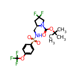 CC(C)(C)OC(=O)N1CC(F)(F)C[C@@H]1CNS(=O)(=O)c1ccc(OC(F)(F)F)cc1